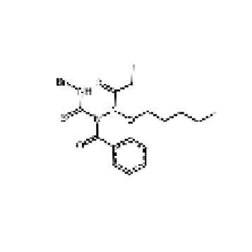 CCCCCON(C(=O)CC)N(C(=O)c1ccccc1)C(=S)NBr